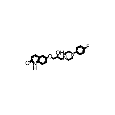 O=c1ccc2cc(OCC(O)CN3CCN(c4ccc(F)cc4)CC3)ccc2[nH]1